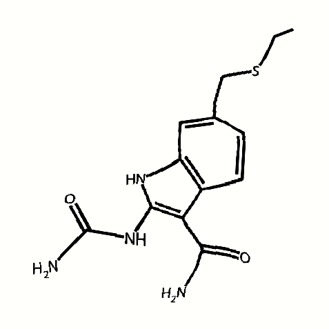 CCSCc1ccc2c(C(N)=O)c(NC(N)=O)[nH]c2c1